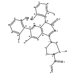 C=CC(=O)N1CCN(c2nc(=O)n(-c3c(C)cccc3C(C)C)c3nc(-c4c(O)cccc4F)c(F)cc23)C[C@@H]1C